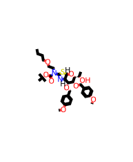 CCCCOCCN(C(=O)OC(C)(C)C)C1=N[C@@H]2[C@@H](OCc3ccc(OC)cc3)[C@H](OCc3ccc(OC)cc3)[C@@H](C(C)O)O[C@@H]2S1